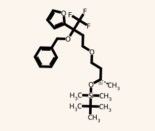 C[C@@H](CCOCCC(OCc1ccccc1)(c1ccco1)C(F)(F)F)O[Si](C)(C)C(C)(C)C